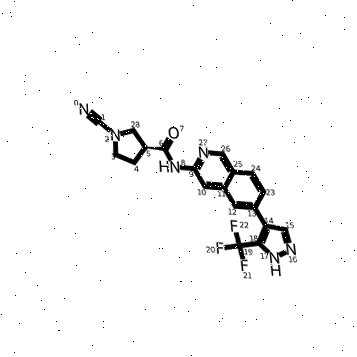 N#CN1CC[C@H](C(=O)Nc2cc3cc(-c4cn[nH]c4C(F)(F)F)ccc3cn2)C1